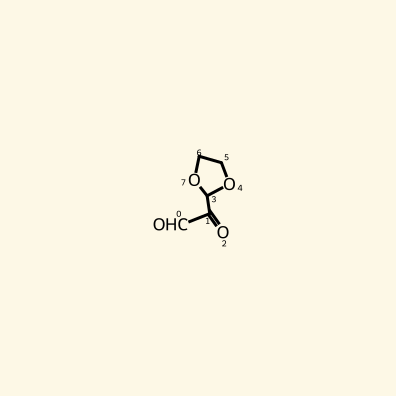 O=CC(=O)C1OCCO1